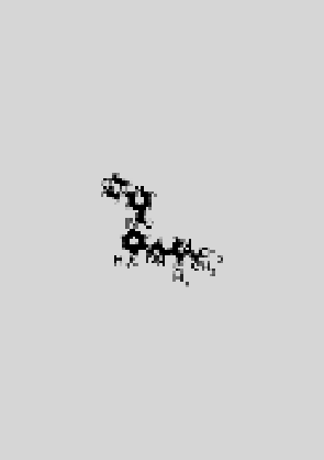 Cc1ccc(NC(=O)c2ccnc(N3CCOCC3)c2)cc1-n1cc(-c2cnn(C(C)C)c2C)nn1